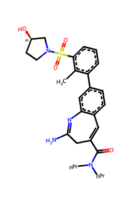 CCCN(CCC)C(=O)C1=Cc2ccc(-c3cccc(S(=O)(=O)N4CC[C@@H](O)C4)c3C)cc2N=C(N)C1